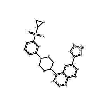 O=S(=O)(c1cccc(N2CCN(c3ncnc4ccc(-c5cn[nH]c5)cc34)CC2)c1)C1CC1